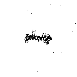 Cc1c(-c2cc3cc(Nc4cc5n(n4)CC(=O)N(C)CC54CC4)ncc3c(C)n2)cncc1N(C(=O)OC(C)(C)C)C(=O)OC(C)(C)C